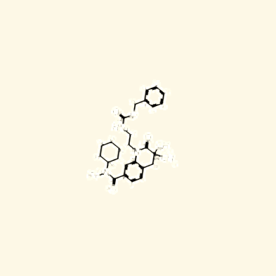 CC(C)N(C(=O)c1ccc2c(c1)N(CCNC(=O)OCc1ccccc1)C(=O)C(C)(C)C2)C1CCCCC1